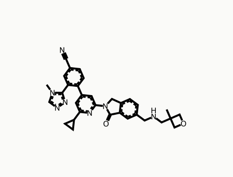 Cn1cnnc1-c1cc(C#N)ccc1-c1cc(C2CC2)nc(N2Cc3ccc(CNCC4(C)COC4)cc3C2=O)c1